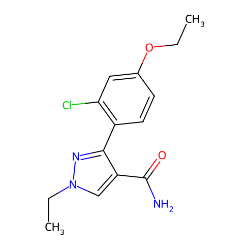 CCOc1ccc(-c2nn(CC)cc2C(N)=O)c(Cl)c1